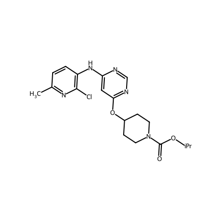 Cc1ccc(Nc2cc(OC3CCN(C(=O)OC(C)C)CC3)ncn2)c(Cl)n1